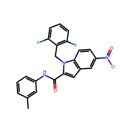 Cc1cccc(NC(=O)c2cc3cc([N+](=O)[O-])ccc3n2Cc2c(F)cccc2F)c1